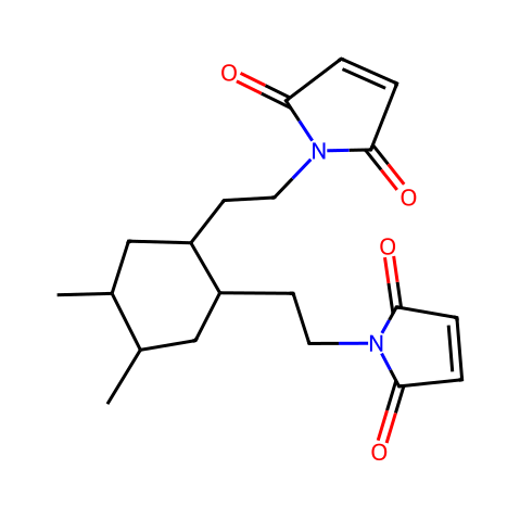 CC1CC(CCN2C(=O)C=CC2=O)C(CCN2C(=O)C=CC2=O)CC1C